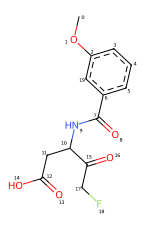 COc1cccc(C(=O)NC(CC(=O)O)C(=O)CF)c1